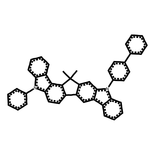 CC1(C)c2cc3c(cc2-c2ccc4c(c21)c1ccccc1n4-c1ccccc1)c1ccccc1n3-c1ccc(-c2ccccc2)cc1